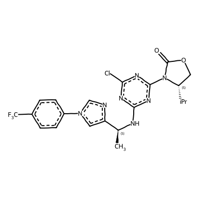 CC(C)[C@H]1COC(=O)N1c1nc(Cl)nc(N[C@@H](C)c2cn(-c3ccc(C(F)(F)F)cc3)cn2)n1